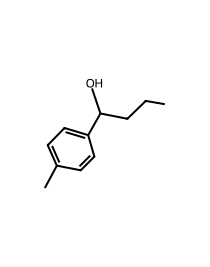 CCCC(O)c1ccc(C)cc1